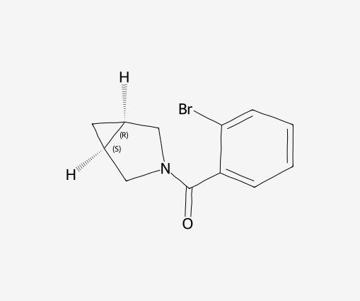 O=C(c1ccccc1Br)N1C[C@H]2C[C@H]2C1